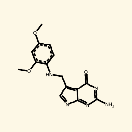 COc1ccc(NCC2=C3C(=O)N=C(N)N=C3N=C2)c(OC)c1